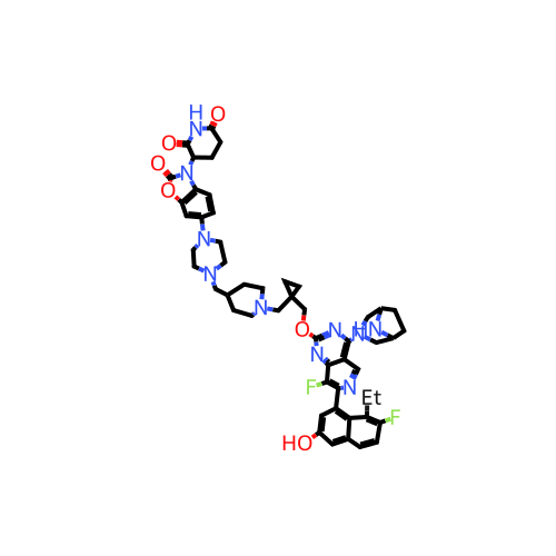 CCc1c(F)ccc2cc(O)cc(-c3ncc4c(N5CC6CCC(C5)N6)nc(OCC5(CN6CCC(CN7CCN(c8ccc9c(c8)oc(=O)n9C8CCC(=O)NC8=O)CC7)CC6)CC5)nc4c3F)c12